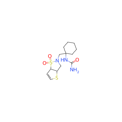 NC(=O)NC1(CN2CC3SC=CC3S2(=O)=O)CCCCC1